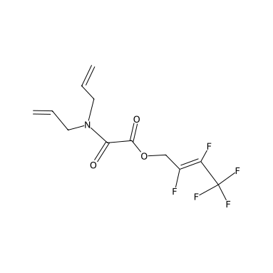 C=CCN(CC=C)C(=O)C(=O)OC/C(F)=C(\F)C(F)(F)F